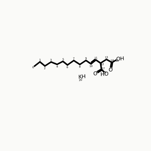 CCCCCCCCCCC=CC(CC(=O)O)C(=O)O.[KH]